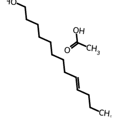 CC(=O)O.CCCC=CCCCCCCCCO